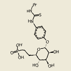 CC(C)NC(=S)Nc1ccc(O[C@H]2O[C@H](CCP(=O)(O)O)[C@@H](O)[C@H](O)[C@@H]2O)cc1